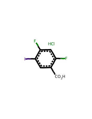 Cl.O=C(O)c1cc(I)c(F)cc1F